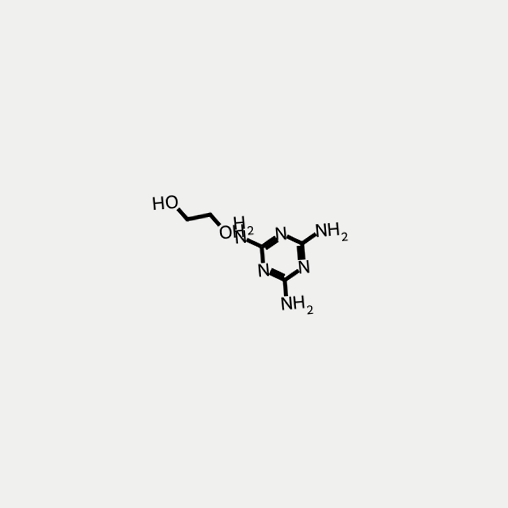 Nc1nc(N)nc(N)n1.OCCO